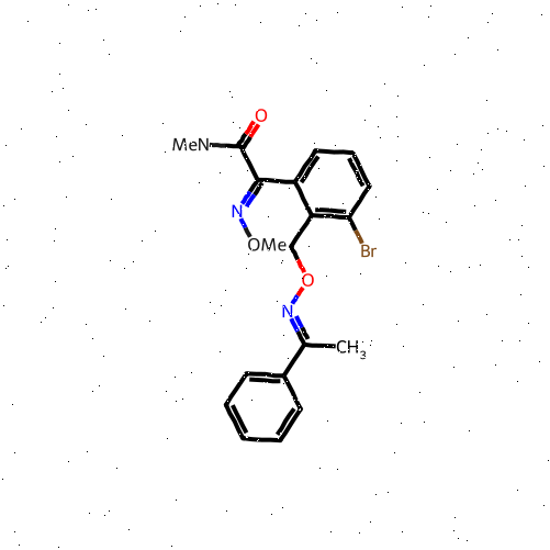 CNC(=O)/C(=N/OC)c1cccc(Br)c1CO/N=C(\C)c1ccccc1